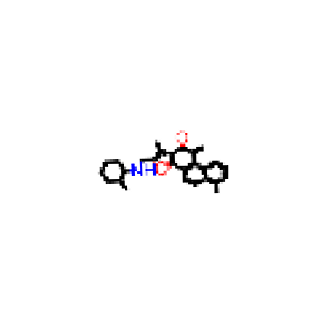 C=C1C(=O)c2c(oc(CNC3CCCCC3C)c2C)-c2ccc3c(C)cccc3c21